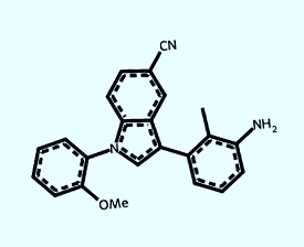 COc1ccccc1-n1cc(-c2cccc(N)c2C)c2cc(C#N)ccc21